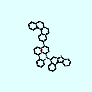 c1ccc(-c2ccccc2N(c2ccc(-c3ccc4c(ccc5ccc6ccccc6c54)c3)cc2)c2cc3sc4ccccc4c3c3ccccc23)cc1